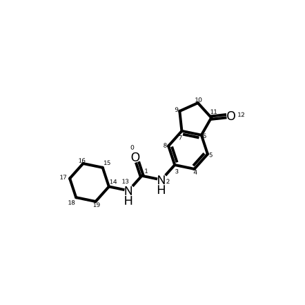 O=C(Nc1ccc2c(c1)CCC2=O)NC1CCCCC1